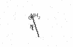 CCCCCCCCCCCCCCCCCC(N)=O.CCCN(C)C